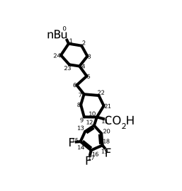 CCCCC1CCC(CCC2CCC(C(=O)O)(c3cc(F)c(F)c(F)c3)CC2)CC1